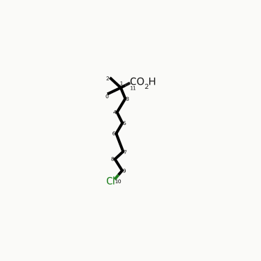 CC(C)(CCCCCCCCl)C(=O)O